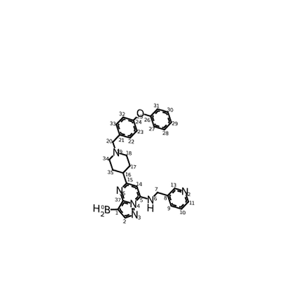 Bc1cnn2c(NCc3cccnc3)cc(C3CCN(Cc4ccc(Oc5ccccc5)cc4)CC3)nc12